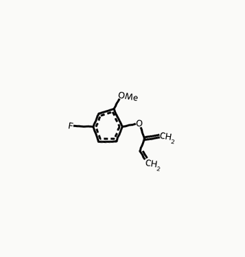 C=CC(=C)Oc1ccc(F)cc1OC